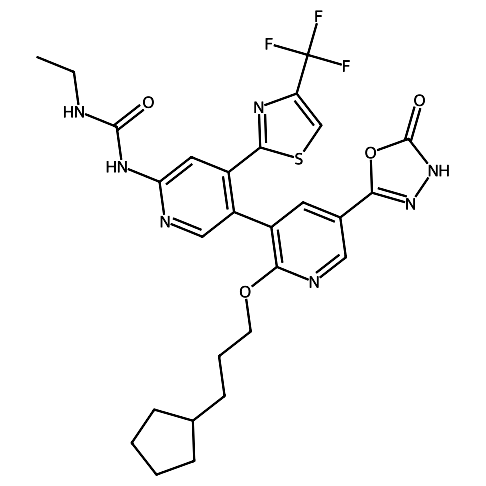 CCNC(=O)Nc1cc(-c2nc(C(F)(F)F)cs2)c(-c2cc(-c3n[nH]c(=O)o3)cnc2OCCCC2CCCC2)cn1